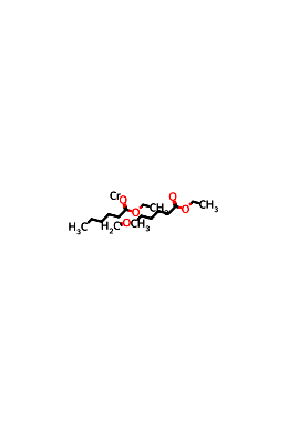 C=O.CCCCCC(=O)OCC.CCCCCC(=O)OCC.[Cr]